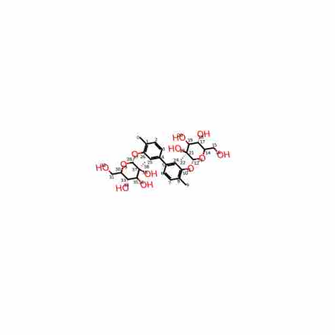 Cc1ccc(-c2ccc(C)c(O[C@H]3OC(CO)[C@@H](O)C(O)[C@]3(C)O)c2)cc1O[C@H]1OC(CO)[C@@H](O)C(O)[C@]1(C)O